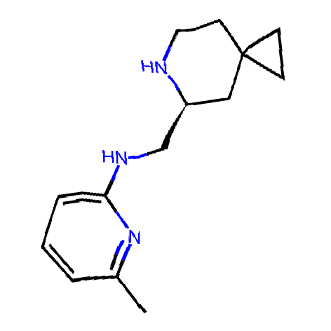 Cc1cccc(NC[C@@H]2CC3(CCN2)CC3)n1